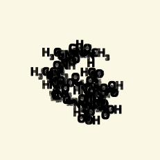 CCC(=O)N[C@H](CCC(=O)O)C(=O)N[C@H](CCC(=O)O)C(=O)N[C@H](CCC(=O)O)C(=O)N[C@H](CCC(=O)O)C(=O)N[C@H](CCC(=O)O)C(=O)NCCOCC(=O)N1CCC[C@H]1C(=O)N[C@@H](CC(C)C)C(=O)NCC(=O)N[C@@H](CSC)C(=O)N[C@@H](C)C(=O)NCC(=O)NC